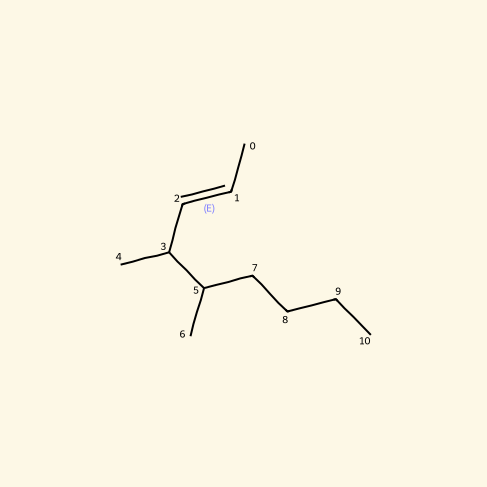 C/C=C/C(C)C(C)CCCC